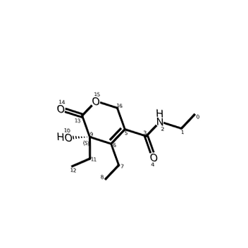 CCNC(=O)C1=C(CC)[C@@](O)(CC)C(=O)OC1